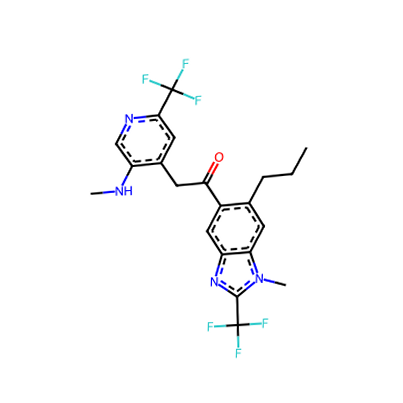 CCCc1cc2c(cc1C(=O)Cc1cc(C(F)(F)F)ncc1NC)nc(C(F)(F)F)n2C